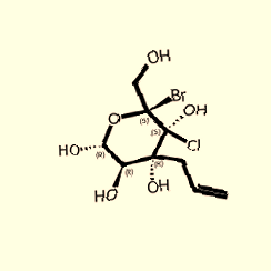 C=CC[C@@]1(O)[C@@H](O)[C@H](O)O[C@](Br)(CO)[C@@]1(O)Cl